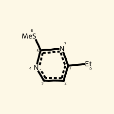 CCc1ccnc(SC)n1